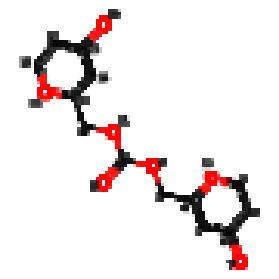 O=C(OCc1cc(=O)cco1)OCc1cc(=O)cco1